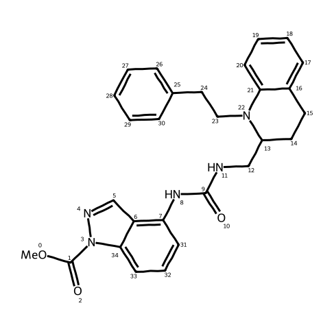 COC(=O)n1ncc2c(NC(=O)NCC3CCc4ccccc4N3CCc3ccccc3)cccc21